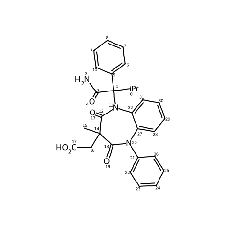 CC(C)C(C(N)=O)(c1ccccc1)N1C(=O)C(C)(CC(=O)O)C(=O)N(c2ccccc2)c2ccccc21